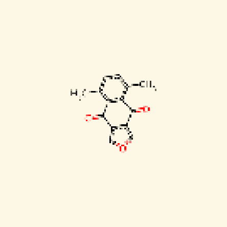 Cc1ccc(C)c2c1C(=O)c1cocc1C2=O